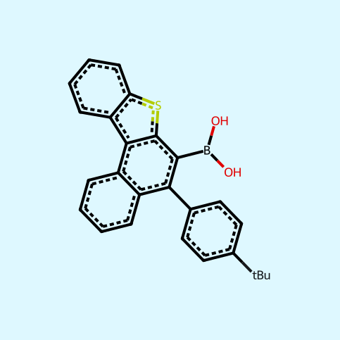 CC(C)(C)c1ccc(-c2c(B(O)O)c3sc4ccccc4c3c3ccccc23)cc1